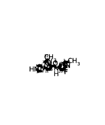 Cc1cn2cc(NC(=O)c3ccc(N4CCNCC4)n4cc(C)nc34)cc(F)c2n1